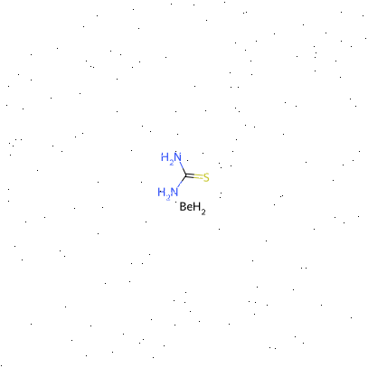 NC(N)=S.[BeH2]